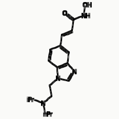 CCCN(CCn1cnc2cc(C=CC(=O)NO)ccc21)C(C)C